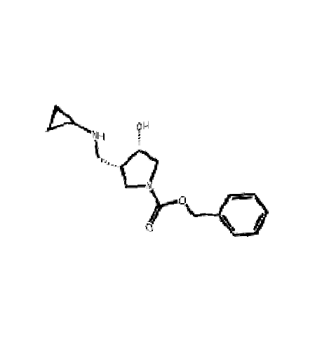 O=C(OCc1ccccc1)N1C[C@H](CNC2CC2)[C@H](O)C1